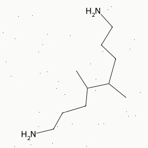 CC(CCCN)C(C)CCCN